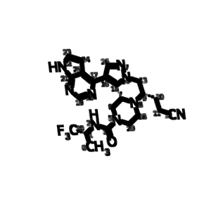 C[C@@H](NC(=O)N1CCN([C@@H](CCC#N)Cn2cc(-c3ncnc4[nH]ccc34)cn2)CC1)C(F)(F)F